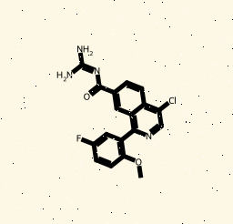 COc1ccc(F)cc1-c1ncc(Cl)c2ccc(C(=O)N=C(N)N)cc12